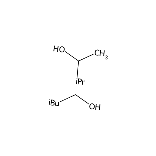 CC(C)C(C)O.CCC(C)CO